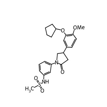 COc1ccc(C2CC(=O)N(c3cccc(NS(C)(=O)=O)c3)C2)cc1OC1CCCC1